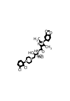 Cc1nc(C(=O)NCC(O)CN2CCN(c3cccc(Cl)c3Cl)CC2)c(C)n1-c1ccc2c(c1)OCO2.Cl.Cl